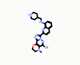 CN1CCOc2c1c(C#N)nn1c(-c3ccc4cccc(NCC5CCNCC5)c4n3)nnc21